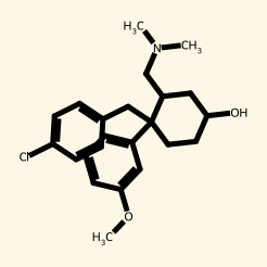 COc1cccc(C2(Cc3ccc(Cl)cc3)CCC(O)CC2CN(C)C)c1